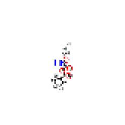 CCCCONC(=O)OC(=O)c1ccccc1